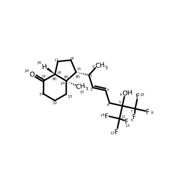 CC(C=CCC(O)(C(F)(F)F)C(F)(F)F)[C@H]1CC[C@H]2C(=O)CCC[C@]12C